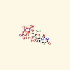 C[C@]1(O)C(n2ccc(=O)[nH]c2=O)O[C@](CCl)(COP(=O)(O)OP(=O)(O)OP(=O)(O)O)[C@H]1O